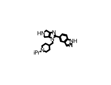 CC(C)N1CCC(Cn2c(-c3ccc4[nH]ncc4c3)nc3c2CNC3)CC1